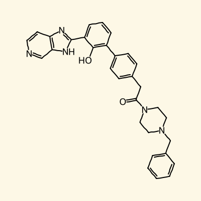 O=C(Cc1ccc(-c2cccc(-c3nc4ccncc4[nH]3)c2O)cc1)N1CCN(Cc2ccccc2)CC1